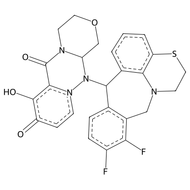 O=C1c2c(O)c(=O)ccn2N(C2c3ccc(F)c(F)c3CN3CCSc4cccc2c43)C2COCCN12